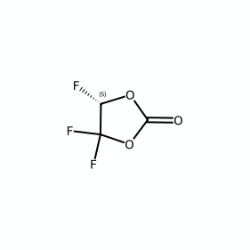 O=C1O[C@@H](F)C(F)(F)O1